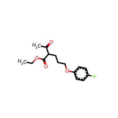 CCOC(=O)C(CCCOc1ccc(F)cc1)C(C)=O